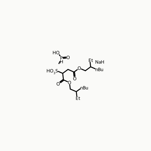 CCCCC(CC)COC(=O)CC(C(=O)OCC(CC)CCCC)S(=O)(=O)O.C[PH](=O)O.[NaH]